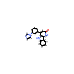 O=c1cc(-c2cccc(-n3ccnc3)c2)c2[nH]c3ccccc3c2[nH]1